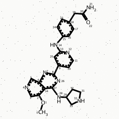 COc1cncc2nc(-c3ccnc(Nc4ccc(CC(N)=O)cc4)c3)nc(NC3CCNC3)c12